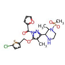 Cc1c(C2NCCN(S(C)(=O)=O)C2C)nn(C(=O)c2ccco2)c1OCc1ccc(Cl)s1